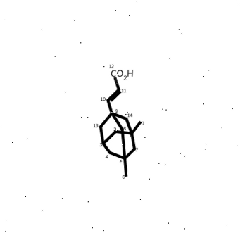 CC12CC3CC(C)(C1)CC(C=CC(=O)O)(C3)C2